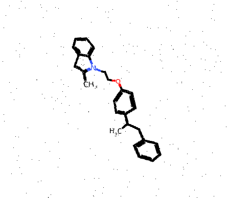 CC(Cc1ccccc1)c1ccc(OCCN2c3ccccc3CC2C)cc1